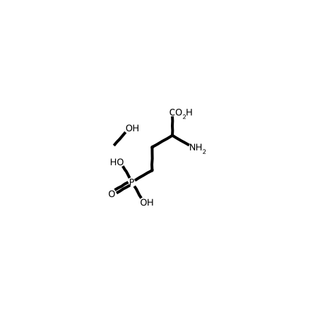 CO.NC(CCP(=O)(O)O)C(=O)O